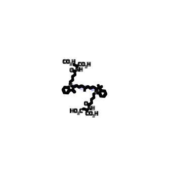 C=c1\c(=C/C=C/C(C)=C/C=C/C2=[N+](CCCCC(=O)NC(CC(=O)O)C(=O)O)c3ccccc3C2(C)C)n(CCCCC(=O)NC(CC(=O)O)C(=O)O)c2ccccc12